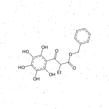 CCC(C(=O)OCc1ccccc1)C(=O)c1c(O)c(O)c(O)c(O)c1O